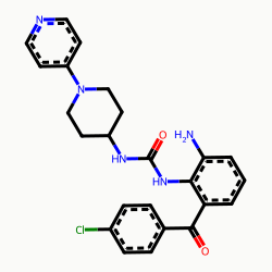 Nc1cccc(C(=O)c2ccc(Cl)cc2)c1NC(=O)NC1CCN(c2ccncc2)CC1